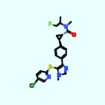 CC(CF)N(C)C(=O)[C@H]1C[C@@H]1c1ccc(-c2ncn(C)c2Sc2ccc(Cl)cn2)cc1